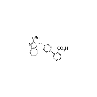 CCCCc1nc2ccccn2c1Cc1ccc(-c2ccccc2C(=O)O)cc1